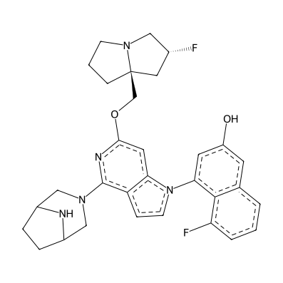 Oc1cc(-n2ccc3c(N4CC5CCC(C4)N5)nc(OC[C@@]45CCCN4C[C@H](F)C5)cc32)c2c(F)cccc2c1